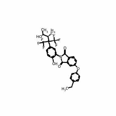 CCc1ccc(Oc2ccc3c(c2)C(=O)N(c2cc(C([C@H](C)C(C)O)(C(F)(F)F)C(F)(F)F)ccc2O)C3=O)cc1